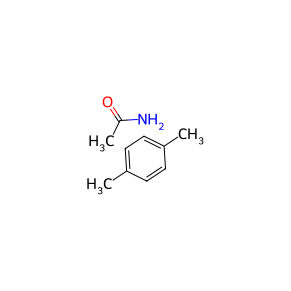 CC(N)=O.Cc1ccc(C)cc1